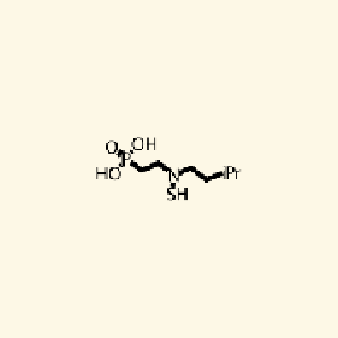 CC(C)CCN(S)CCP(=O)(O)O